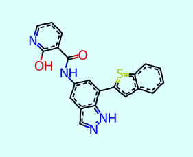 O=C(Nc1cc(-c2cc3ccccc3s2)c2[nH]ncc2c1)c1cccnc1O